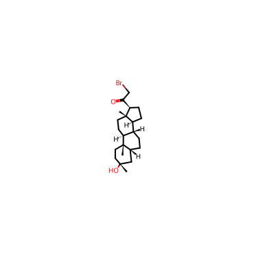 C[C@@]1(O)CC[C@@]2(C)[C@H](CC[C@@H]3[C@@H]2CC[C@]2(C)[C@@H](C(=O)CBr)CC[C@@H]32)C1